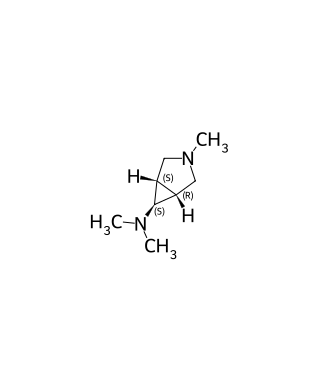 CN1C[C@@H]2[C@H](C1)[C@H]2N(C)C